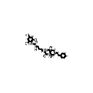 CCCN1C(=O)[C@H](CCCCNC(=O)Nc2c(Cl)cc(Cl)cc2Cl)NC(=O)C12CCN(CCc1ccccc1)CC2